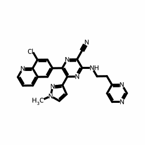 Cn1ccc(-c2nc(NCCc3ccncn3)c(C#N)nc2-c2cc(Cl)c3ncccc3c2)n1